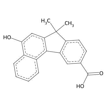 CC1(C)c2ccc(C(=O)O)cc2-c2c1cc(O)c1ccccc21